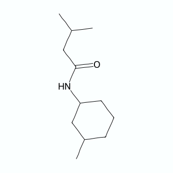 CC(C)CC(=O)NC1CCCC(C)C1